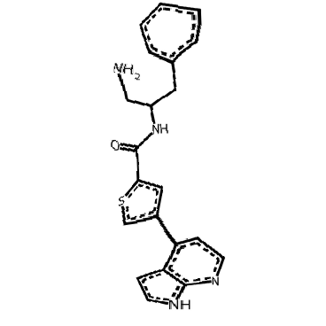 NCC(Cc1ccccc1)NC(=O)c1cc(-c2ccnc3[nH]ccc23)cs1